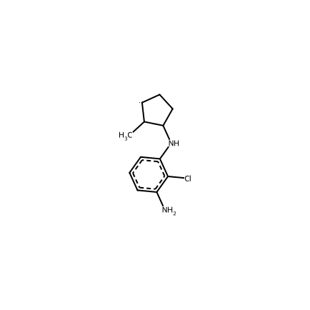 CC1[CH]CCC1Nc1cccc(N)c1Cl